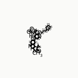 CN1C(=O)C2(CC2)c2c1cnc1ccc(-c3cnc(OCCCN4CCCC4)c(C4(N[SH](=O)=O)CC4)c3)cc21